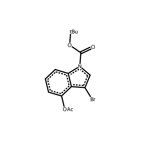 CC(=O)Oc1cccc2c1c(Br)cn2C(=O)OC(C)(C)C